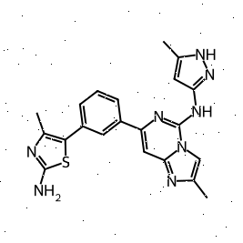 Cc1cn2c(Nc3cc(C)[nH]n3)nc(-c3cccc(-c4sc(N)nc4C)c3)cc2n1